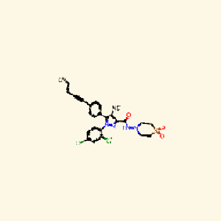 [C-]#[N+]CCC#Cc1ccc(-c2c([N+]#[C-])c(C(=O)NN3CCS(=O)(=O)CC3)nn2-c2ccc(Cl)cc2Cl)cc1